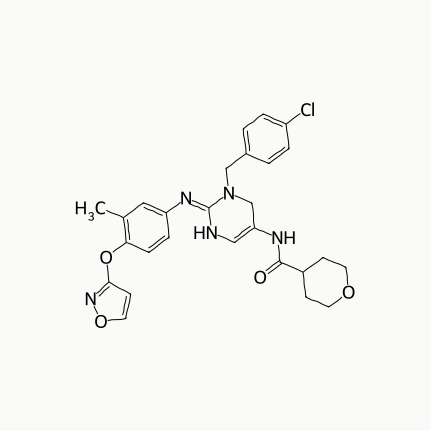 Cc1cc(/N=C2\NC=C(NC(=O)C3CCOCC3)CN2Cc2ccc(Cl)cc2)ccc1Oc1ccon1